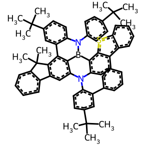 CC(C)(C)c1ccc(N2B3c4c(cc5c(c4-c4cc(C(C)(C)C)ccc42)C(C)(C)c2ccccc2-5)N(c2ccc(C(C)(C)C)cc2-c2ccccc2)c2ccc4c(sc5ccccc54)c23)cc1